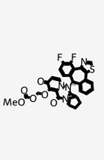 COC(=O)OCOc1c2n(ccc1=O)N([C@@H]1c3ccccc3-c3scnc3-c3c1ccc(F)c3F)C1C3CCC(C3)N1C2=O